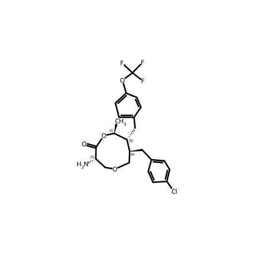 C[C@@H]1OC(=O)[C@@H](N)COC[C@H](Cc2ccc(Cl)cc2)[C@H]1Cc1ccc(OC(F)(F)F)cc1